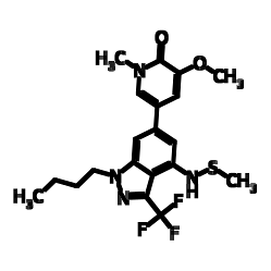 CCCCn1nc(C(F)(F)F)c2c(NSC)cc(-c3cc(OC)c(=O)n(C)c3)cc21